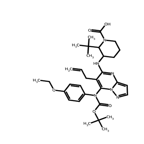 C=CCc1c(NC2CCCN(C(=O)O)C2C(C)(C)C)nc2ccnn2c1N(C(=O)OC(C)(C)C)c1ccc(OCC)cc1